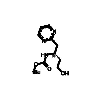 CC(C)(C)OC(=O)N[C@@H](CCO)Cc1ncccn1